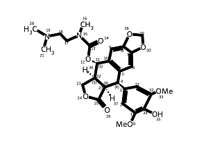 COc1cc([C@@H]2c3cc4c(cc3[C@@H](OC(=O)N(C)CCN(C)C)[C@@H]3COC(=O)[C@H]23)OCO4)cc(OC)c1O